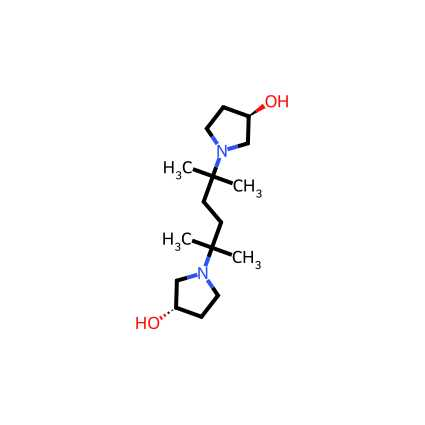 CC(C)(CCC(C)(C)N1CC[C@H](O)C1)N1CC[C@@H](O)C1